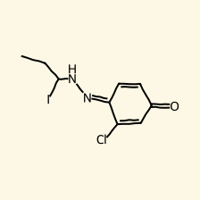 CCC(I)N/N=C1\C=CC(=O)C=C1Cl